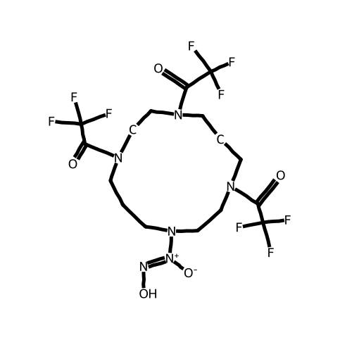 O=C(N1CCCN(C(=O)C(F)(F)F)CCN(/[N+]([O-])=N/O)CCCN(C(=O)C(F)(F)F)CC1)C(F)(F)F